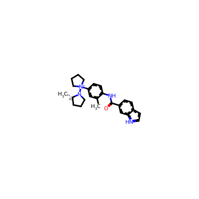 Cc1cc([N+]2(N3CCC[C@@H]3C)CCCC2)ccc1NC(=O)c1ccc2cc[nH]c2c1